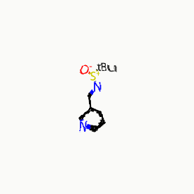 CC(C)(C)[S+]([O-])/N=C/c1cccnc1